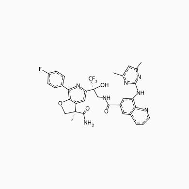 Cc1cc(C)nc(Nc2cc(C(=O)NC[C@](O)(c3cc4c(c(-c5ccc(F)cc5)n3)OC[C@]4(C)C(N)=O)C(F)(F)F)cc3cccnc23)n1